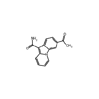 CC(=O)c1ccc2c(C(N)=O)c3ccccn3c2c1